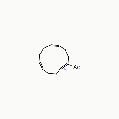 CC(=O)/C1=C\CCC=CCCC=CCC1